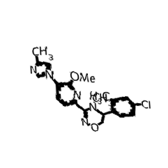 COc1nc(C2=NOCC(c3ccc(Cl)cc3C)N2C)ccc1-n1cnc(C)c1